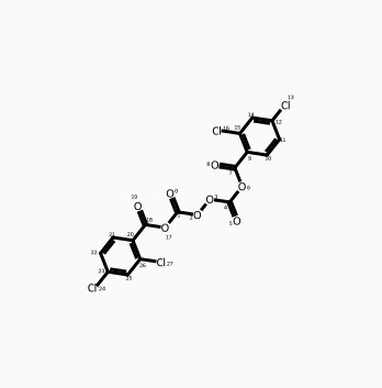 O=C(OOC(=O)OC(=O)c1ccc(Cl)cc1Cl)OC(=O)c1ccc(Cl)cc1Cl